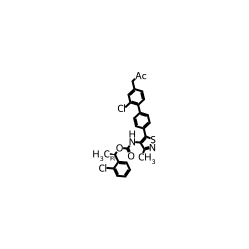 CC(=O)Cc1ccc(-c2ccc(-c3snc(C)c3NC(=O)O[C@H](C)c3ccccc3Cl)cc2)c(Cl)c1